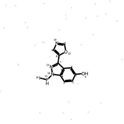 Oc1ccc2c(c1)c(-c1cnco1)nn2PI